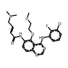 COCCOc1c(NC(=O)/C=C/CN(C)C)ccc2ncnc(Nc3cccc(Cl)c3F)c12